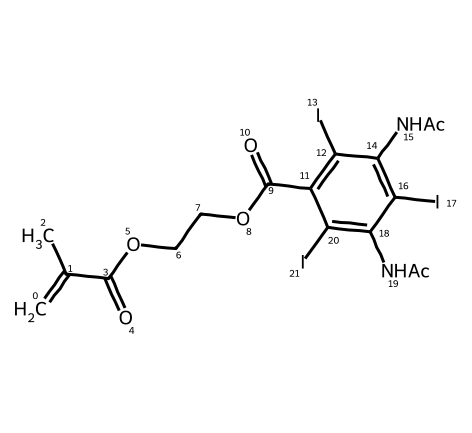 C=C(C)C(=O)OCCOC(=O)c1c(I)c(NC(C)=O)c(I)c(NC(C)=O)c1I